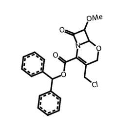 COC1C(=O)N2C(C(=O)OC(c3ccccc3)c3ccccc3)=C(CCl)COC12